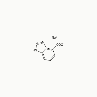 O=C([O-])c1cccc2[nH]nnc12.[Na+]